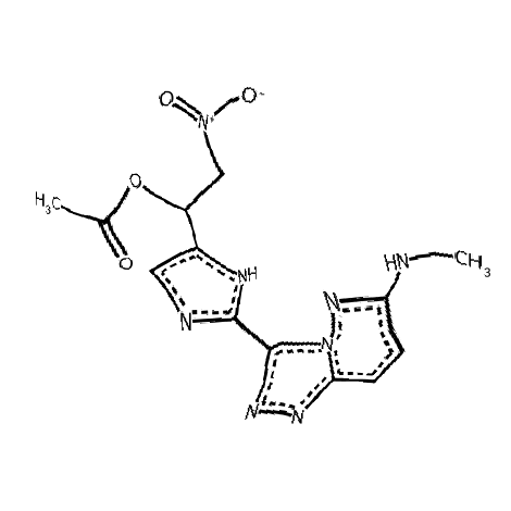 CNc1ccc2nnc(-c3ncc(C(C[N+](=O)[O-])OC(C)=O)[nH]3)n2n1